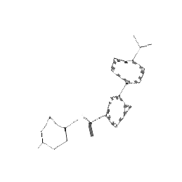 CC(C)c1ccc(-c2ccc(C(=O)NC3CCC(O)CC3)s2)cc1